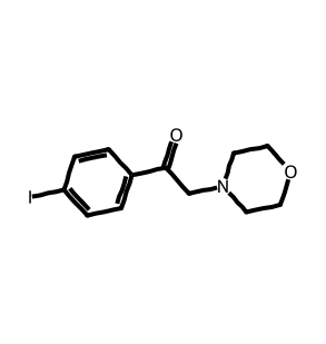 O=C(CN1CCOCC1)c1ccc(I)cc1